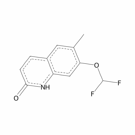 Cc1cc2ccc(=O)[nH]c2cc1OC(F)F